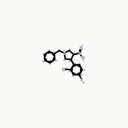 O=[N+]([O-])C1CN(Cc2ccccc2)CC1c1ccc(F)cc1Cl